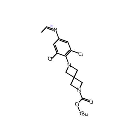 C/C=N\c1cc(Cl)c(N2CC3(CN(C(=O)OC(C)(C)C)C3)C2)c(Cl)c1